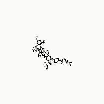 C=CC(=O)Nc1cc(Nc2ncnc(N3OCC[C@@H]3c3cc(F)cc(F)c3)n2)c(OC)cc1N1CCC(N2CCN(C3CC3)CC2)CC1